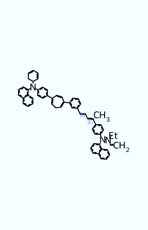 C=CN(CC)N(c1ccc(/C(C)=C/C=C/c2cccc(C3=CCC=C(c4ccc(N(c5cccc6ccccc56)C5C=CC=CC5)cc4)C=C3)c2)cc1)c1cccc2ccccc12